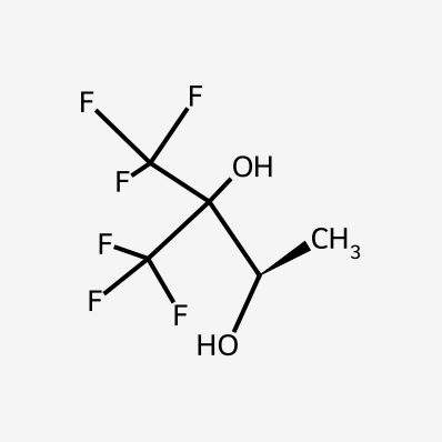 C[C@@H](O)C(O)(C(F)(F)F)C(F)(F)F